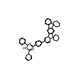 C1=CCC(C2=NC(c3ccc(C4=CC5c6cc7c(cc6C6(CCCCC6)C5C=C4)C4(CCCCC4)c4ccccc4-7)cc3)=NC(c3ccccc3)N2)C=C1